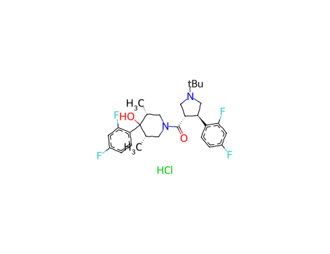 C[C@@H]1CN(C(=O)[C@@H]2CN(C(C)(C)C)C[C@H]2c2ccc(F)cc2F)C[C@H](C)C1(O)c1ccc(F)cc1F.Cl